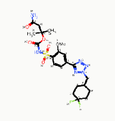 COc1cc(-c2nnn(CC3CCC(F)(F)CC3)n2)ccc1S(=O)(=O)NC(=O)OC(C)(C)CC(N)=O